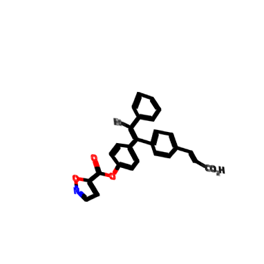 CCC(=C(c1ccc(C=CC(=O)O)cc1)c1ccc(OC(=O)c2ccno2)cc1)c1ccccc1